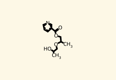 CC(O)COC(C)COC(=O)c1cccnc1